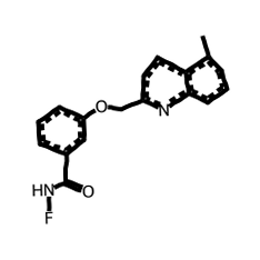 Cc1cccc2nc(COc3cccc(C(=O)NF)c3)ccc12